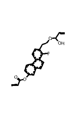 C=CC(=O)Oc1ccc2c(ccc3c(F)c(CCOC(O)C=C)ccc32)c1